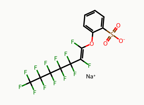 O=S(=O)([O-])c1ccccc1OC(F)=C(F)C(F)(F)C(F)(F)C(F)(F)C(F)(F)C(F)(F)F.[Na+]